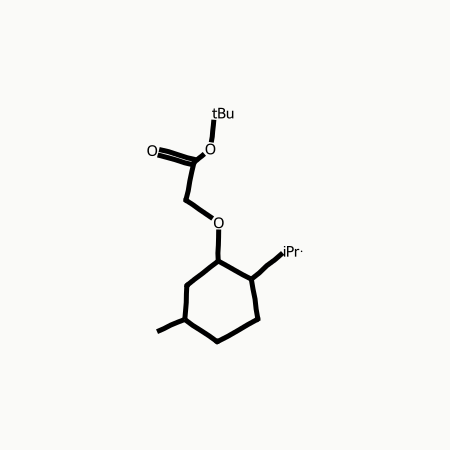 C[C](C)C1CCC(C)CC1OCC(=O)OC(C)(C)C